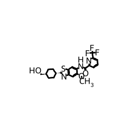 COc1cc2nc([C@H]3CC[C@H](CO)CC3)sc2cc1NC(=O)c1cccc(C(F)(F)F)n1